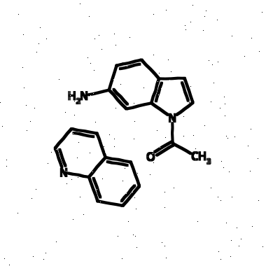 CC(=O)n1ccc2ccc(N)cc21.c1ccc2ncccc2c1